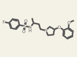 COc1ccccc1OC1CCN(CCC(C)NS(=O)(=O)c2ccc(F)cc2)C1